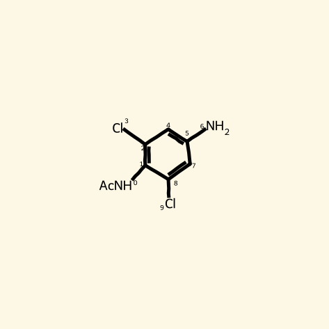 CC(=O)Nc1c(Cl)cc(N)cc1Cl